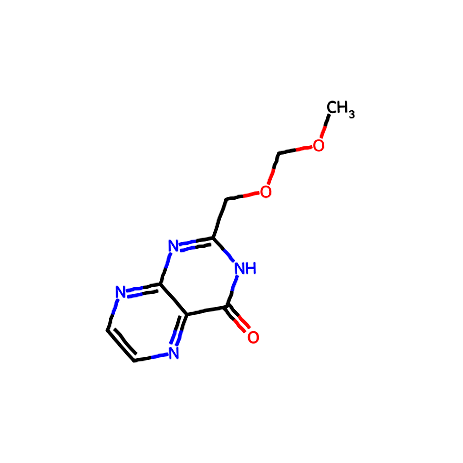 COCOCc1nc2nccnc2c(=O)[nH]1